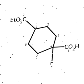 CCOC(=O)C1CCC(F)(C(=O)O)CC1